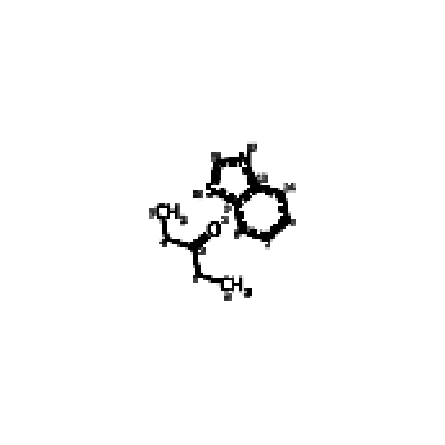 CCC(=O)CC.c1ccc2scnc2c1